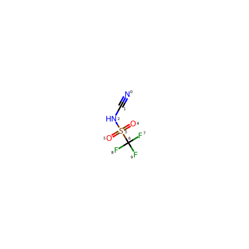 N#CNS(=O)(=O)C(F)(F)F